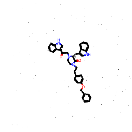 O=C(CN1CCN(CCc2ccc(OCc3ccccc3)cc2)C(=O)[C@@H]1Cc1c[nH]c2ccccc12)c1c[nH]c2ccccc12